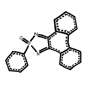 O=P1(c2ccccc2)N=c2c(c3ccccc3c3ccccc23)=N1